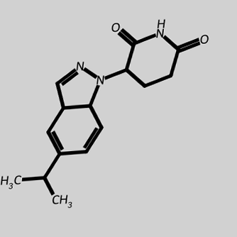 CC(C)C1=CC2C=NN(C3CCC(=O)NC3=O)C2C=C1